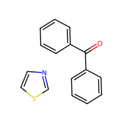 O=C(c1ccccc1)c1ccccc1.c1cscn1